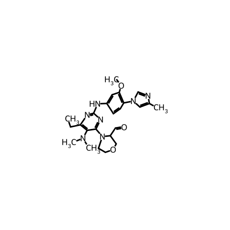 CCc1nc(Nc2ccc(-n3cnc(C)c3)c(OC)c2)nc(N2CCOCC2C=O)c1N(C)C